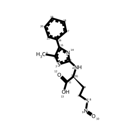 Cc1sc(N[C@@H](CCSN=O)C(=O)O)nc1-c1ccccc1